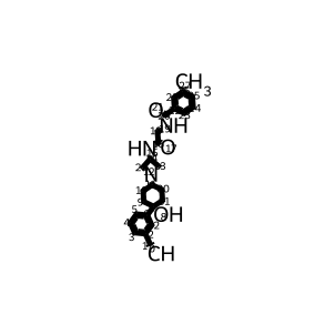 C#Cc1cccc(C2(O)CCC(N3CC(NC(=O)CNC(=O)c4cccc(C)c4)C3)CC2)c1